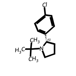 CC(C)(C)N1CCC[C@H]1c1ccc(Cl)cc1